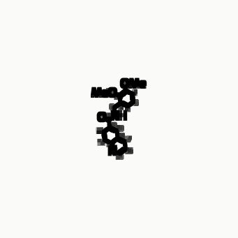 COc1cccc(CNC(=O)c2ccc3ncccc3c2)c1OC